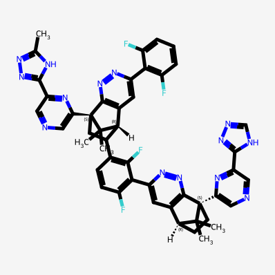 Cc1nnc(-c2cncc([C@@]34CC(c5ccc(F)c(-c6cc7c(nn6)[C@@]6(c8cncc(-c9nnc[nH]9)n8)CC[C@@H]7C6(C)C)c5F)[C@@H](c5cc(-c6c(F)cccc6F)nnc53)C4(C)C)n2)[nH]1